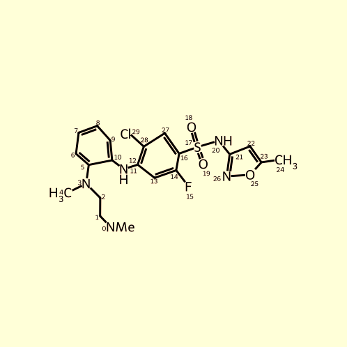 CNCCN(C)c1ccccc1Nc1cc(F)c(S(=O)(=O)Nc2cc(C)on2)cc1Cl